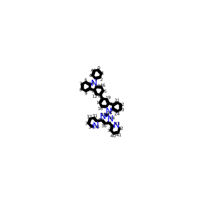 c1ccc(-n2c3ccccc3c3cc(-c4ccc5c(c4)c4ccccc4n5-c4nc(-c5ccccn5)cc(-c5ccccn5)n4)ccc32)cc1